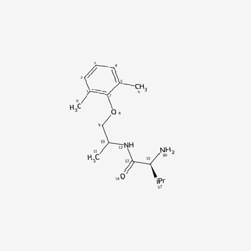 Cc1cccc(C)c1OCC(C)NC(=O)[C@@H](N)C(C)C